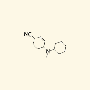 CN(C1C=CC(C#N)CC1)C1CCCCC1